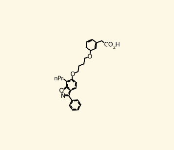 CCCc1c(OCCCCOC2C=C(CC(=O)O)C=CC2)ccc2c(-c3ccccc3)noc12